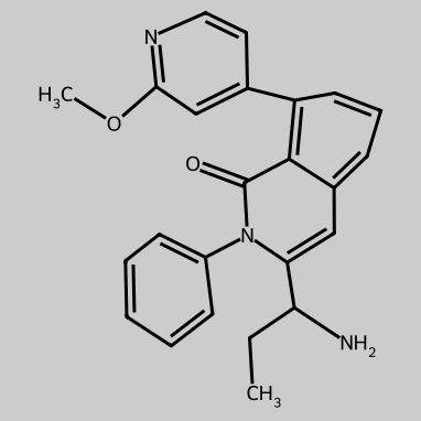 CCC(N)c1cc2cccc(-c3ccnc(OC)c3)c2c(=O)n1-c1ccccc1